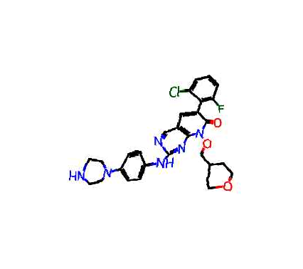 O=c1c(-c2c(F)cccc2Cl)cc2cnc(Nc3ccc(N4CCNCC4)cc3)nc2n1OCC1CCOCC1